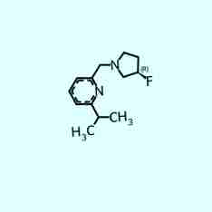 CC(C)c1cccc(CN2CC[C@@H](F)C2)n1